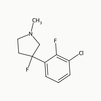 CN1CCC(F)(c2cccc(Cl)c2F)C1